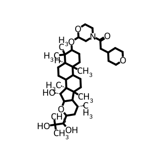 C[C@@H]1CC(C(O)C(C)(C)O)OC2C1C1(C)CCC3C(CC[C@H]4C(C)(C)C(OC5CN(C(=O)CC6CCOCC6)CCO5)CCC34C)[C@]1(C)[C@H]2O